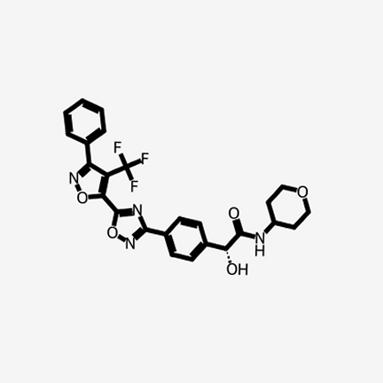 O=C(NC1CCOCC1)[C@H](O)c1ccc(-c2noc(-c3onc(-c4ccccc4)c3C(F)(F)F)n2)cc1